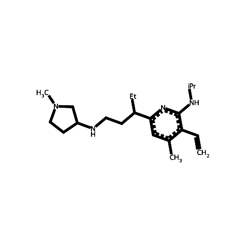 C=Cc1c(C)cc(C(CC)CCNC2CCN(C)C2)nc1NC(C)C